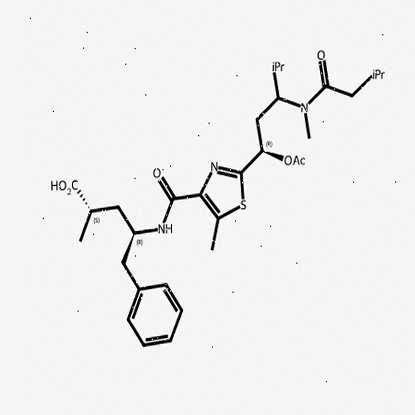 CC(=O)O[C@H](CC(C(C)C)N(C)C(=O)CC(C)C)c1nc(C(=O)N[C@@H](Cc2ccccc2)C[C@H](C)C(=O)O)c(C)s1